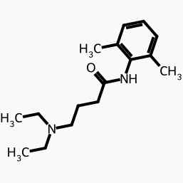 CCN(CC)CCCC(=O)Nc1c(C)cccc1C